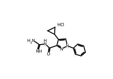 Cl.N=C(N)NC(=O)c1nn(-c2ccccc2)cc1C1CC1